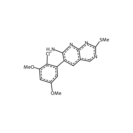 COc1cc(OC)c(Cl)c(-c2cc3cnc(SC)nc3nc2N)c1